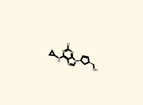 OC[C@@H]1C=C[C@H](n2cnc3c(NC4CC4)nc(Cl)nc32)C1